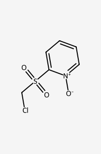 O=S(=O)(CCl)c1cccc[n+]1[O-]